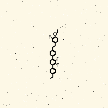 CCOc1ccc(CCc2ccc(-c3ccc(-c4ccc(CC)cc4)c(F)c3F)cc2)cc1F